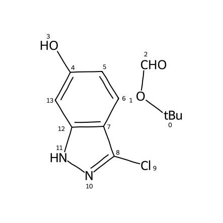 CC(C)(C)OC=O.Oc1ccc2c(Cl)n[nH]c2c1